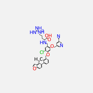 Cc1c(COc2cc(OCc3cncc(C#N)c3)c(CNC(CCCNC(=N)N)C(=O)O)cc2Cl)cccc1-c1ccc2occc2c1